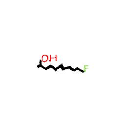 CC(CO)CCCCCCCCCF